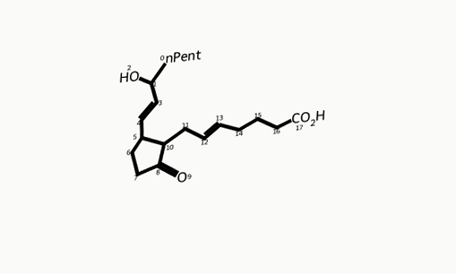 CCCCCC(O)C=CC1CCC(=O)C1CC=CCCCC(=O)O